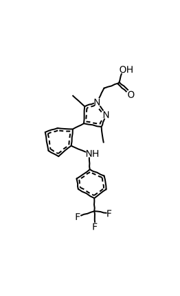 Cc1nn(CC(=O)O)c(C)c1-c1ccccc1Nc1ccc(C(F)(F)F)cc1